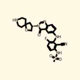 CS(=O)(=O)Nc1ccc(F)c(Nc2ccc3ncn([C@H]4COC5(CCNCC5)C4)c(=O)c3c2)c1C#N